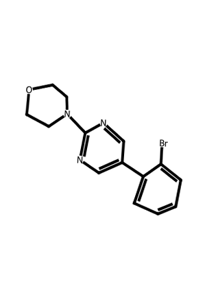 Brc1ccccc1-c1cnc(N2CCOCC2)nc1